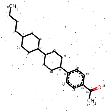 CCCCC1CCC(C2CCC(c3ccc(C(C)=O)cc3)CC2)CC1